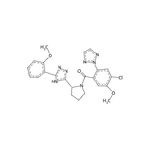 COc1cc(C(=O)N2CCCC2c2nnc(-c3ccccc3OC)[nH]2)c(-n2nccn2)cc1Cl